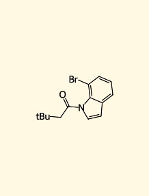 CC(C)(C)CC(=O)n1ccc2cccc(Br)c21